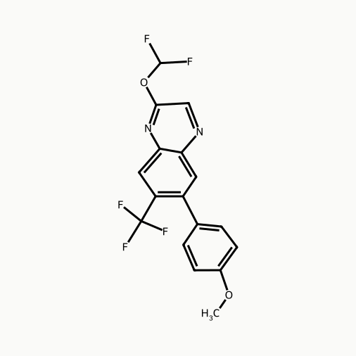 COc1ccc(-c2cc3ncc(OC(F)F)nc3cc2C(F)(F)F)cc1